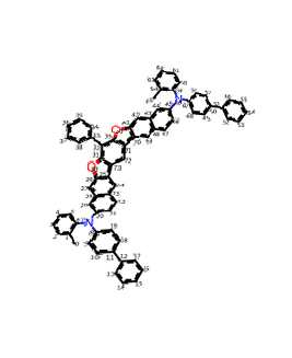 Cc1ccccc1N(c1ccc(-c2ccccc2)cc1)c1ccc2cc3c(cc2c1)oc1c(-c2ccccc2)c2oc4cc5cc(N(c6ccc(-c7ccccc7)cc6)c6ccccc6C)ccc5cc4c2cc13